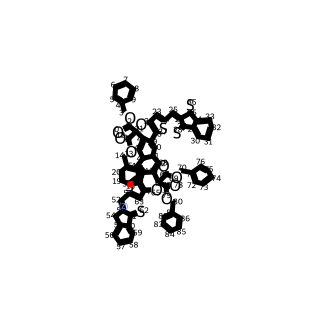 O=C(OCc1ccccc1)C1(C(=O)OCc2ccccc2)Oc2cc(C=C3C(=S)c4ccccc4C3=S)sc2C2=CC3C=C4C(=CC3C=C21)c1sc(/C=C2/Cc3ccccc3C2=S)cc1OC4(C(=O)OCc1ccccc1)C(=O)OCc1ccccc1